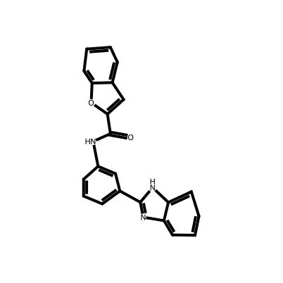 O=C(Nc1cccc(-c2nc3ccccc3[nH]2)c1)c1cc2ccccc2o1